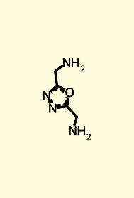 NCc1nnc(CN)o1